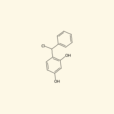 Oc1ccc(C(Cl)c2ccccc2)c(O)c1